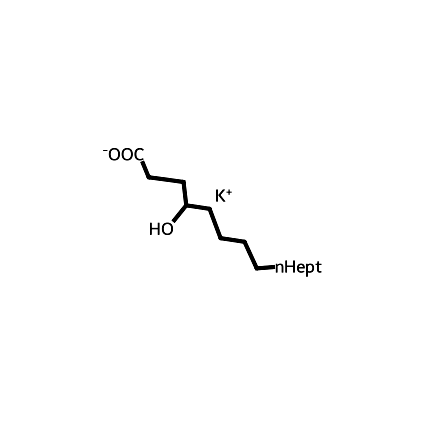 CCCCCCCCCCCC(O)CCC(=O)[O-].[K+]